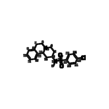 CN(C1CCN2CCc3ccccc3C2C1)S(=O)(=O)c1ccc(Cl)cc1